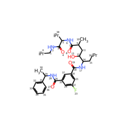 CC(C)CNC(=O)C(NC(=O)C(C)CC(O)C(CC(C)C)NC(=O)c1cc(F)cc(C(=O)NC(C)c2ccccc2)c1)C(C)C